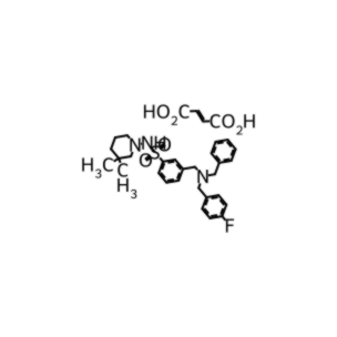 CC1(C)CCCN(NS(=O)(=O)c2cccc(CN(Cc3ccccc3)Cc3ccc(F)cc3)c2)C1.O=C(O)C=CC(=O)O